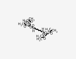 C=C(C)C(=O)OCC(COC(=O)C(=C)C)OC(=O)NCCCCCCNC(=O)OC(COC(=O)C(=C)C)COC(=O)C(C)C